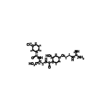 N=C(N)NCCOc1ccc(C(=O)NC[C@H](NC(=O)c2cccc(Cl)c2)C(=O)O)c(O)c1